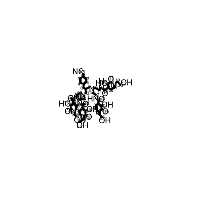 N#CSc1ccc(CC(CN(CCNC(=O)c2ccn(CCO)c(=O)c2O)CCNC(=O)c2ccn(CCO)c(=O)c2O)CN(CCNC(=O)c2ccn(CCO)c(=O)c2O)CCNC(=O)c2ccn(CCO)c(=O)c2O)cc1